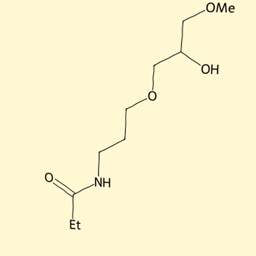 CCC(=O)NCCCOCC(O)COC